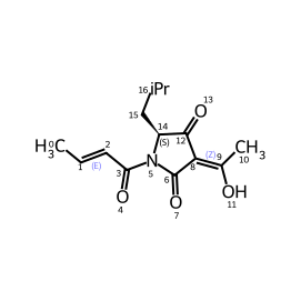 C/C=C/C(=O)N1C(=O)/C(=C(/C)O)C(=O)[C@@H]1CC(C)C